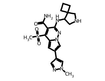 Cn1cc(-c2cc3c(S(C)(=O)=O)c(C(N)=O)c(NC4CNCC45CCC5)nn3c2)cn1